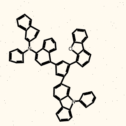 c1ccc(N(c2ccc3ccccc3c2)c2ccc(-c3cc(-c4ccc5c6ccccc6n(-c6ccccc6)c5c4)cc(-c4cccc5c4oc4ccccc45)c3)c3ccccc23)cc1